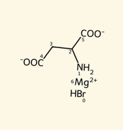 Br.NC(CC(=O)[O-])C(=O)[O-].[Mg+2]